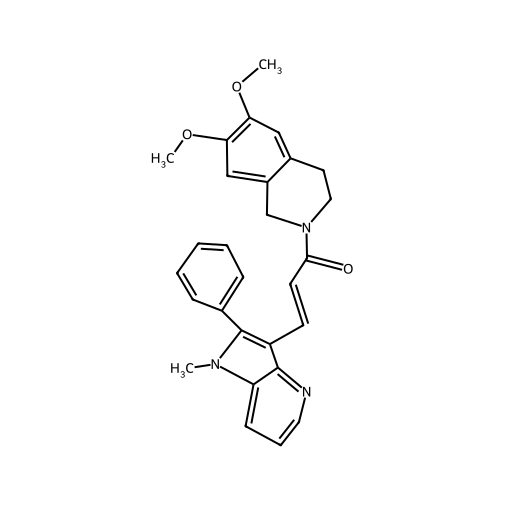 COc1cc2c(cc1OC)CN(C(=O)C=Cc1c(-c3ccccc3)n(C)c3cccnc13)CC2